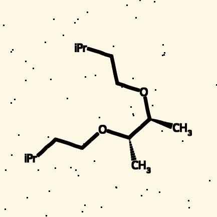 CC(C)CCO[C@@H](C)[C@H](C)OCCC(C)C